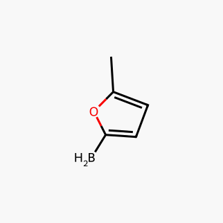 Bc1ccc(C)o1